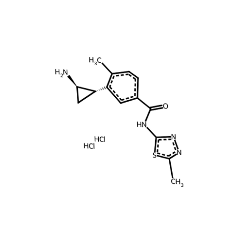 Cc1nnc(NC(=O)c2ccc(C)c([C@@H]3C[C@H]3N)c2)s1.Cl.Cl